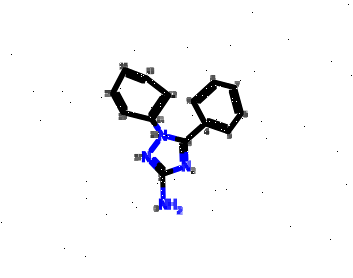 Nc1nc(-c2ccccc2)n(-c2ccccc2)n1